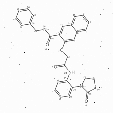 O=C(COc1cc2ccccc2cc1C(=O)NCc1ccccc1)Nc1ccccc1N1CCCC1=O